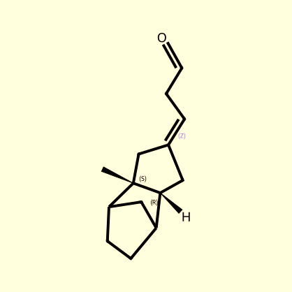 C[C@@]12C/C(=C\CC=O)C[C@@H]1C1CCC2C1